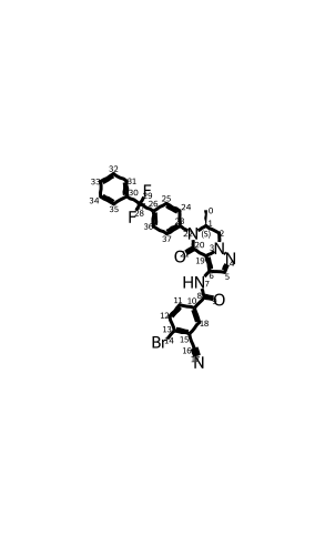 C[C@H]1Cn2ncc(NC(=O)c3ccc(Br)c(C#N)c3)c2C(=O)N1c1ccc(C(F)(F)c2ccccc2)cc1